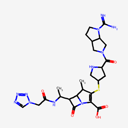 CC(NC(=O)Cn1cnnn1)C1C(=O)N2C(C(=O)O)=C(SC3CNC(C(=O)N4CC5CCN(C(=N)N)C5C4)C3)C(C)C12